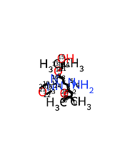 Cc1cc(C(=NN)c2cc(OCC(C)(C)O)nc(N3CCOCC3)n2)oc1C